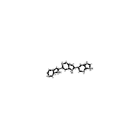 c1cc2cc(-c3cc4[nH]c(-c5cnc6[nH]cnc6c5)cc4cn3)[nH]c2cn1